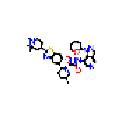 C[C@H]1CC[C@H](c2ccc3sc(C4CCN(C)C(C)(C)C4)nc3c2)N(C(=O)C(=O)Nc2cncc3cnn(C4CCCCO4)c23)C1